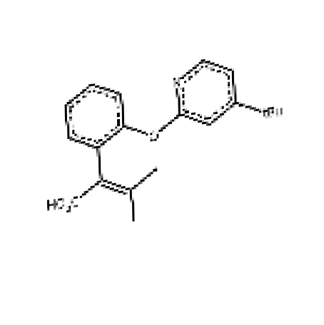 CC(C)=C(C(=O)O)c1ccccc1Oc1cc(C(C)(C)C)ccn1